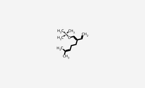 C=CC(=CO[Si](C)(C)C)CCC=C(C)C